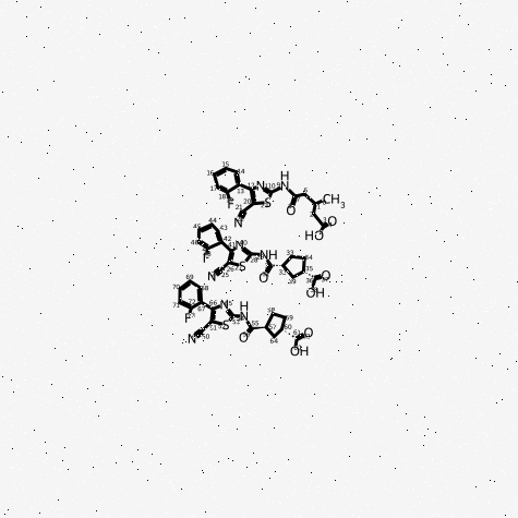 CC(CC(=O)O)CC(=O)Nc1nc(-c2ccccc2F)c(C#N)s1.N#Cc1sc(NC(=O)[C@@H]2CC[C@H](C(=O)O)C2)nc1-c1ccccc1F.N#Cc1sc(NC(=O)[C@H]2CC[C@H](C(=O)O)C2)nc1-c1ccccc1F